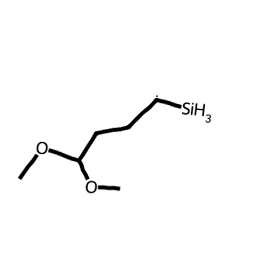 COC(CC[CH][SiH3])OC